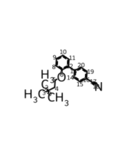 CC(C)(C)CCOc1ccccc1-c1ccc(C#N)cc1